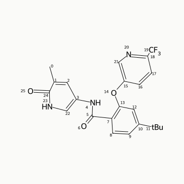 Cc1cc(NC(=O)c2ccc(C(C)(C)C)cc2Oc2ccc(C(F)(F)F)nc2)c[nH]c1=O